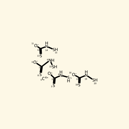 [C+4].[O-]C(=S)NS.[O-]C(=S)NS.[O-]C(=S)NS.[O-]C(=S)NS